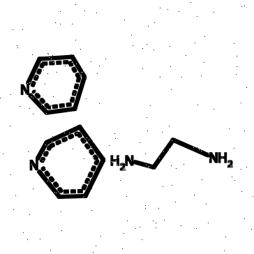 NCCN.c1ccncc1.c1ccncc1